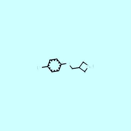 Brc1ccc(OCC2CNC2)cc1